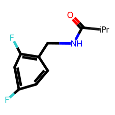 CC(C)C(=O)NCc1ccc(F)cc1F